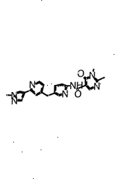 Cc1ncc(C(=O)Nc2ccc(Cc3ccnc(-c4cnn(C)c4)c3)cn2)c(=O)n1C